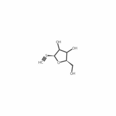 C#S[C@@H]1O[C@H](CO)C(O)C1O